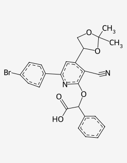 CC1(C)OCC(c2cc(-c3ccc(Br)cc3)nc(OC(C(=O)O)c3ccccc3)c2C#N)O1